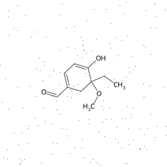 CCC1(OC)CC(C=O)=CC=C1O